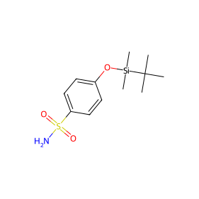 CC(C)(C)[Si](C)(C)Oc1ccc(S(N)(=O)=O)cc1